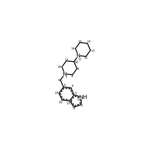 [c]1c[nH]c2cc(CN3CCC(N4CCCCC4)CC3)ccc12